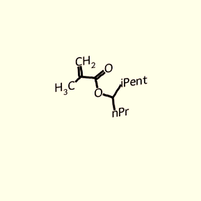 C=C(C)C(=O)OC(CCC)C(C)CCC